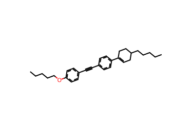 CCCCCOc1ccc(C#Cc2ccc(C3=CCC(CCCCC)CC3)cc2)cc1